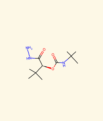 CC(C)(C)NC(=O)O[C@H](C(=O)NN)C(C)(C)C